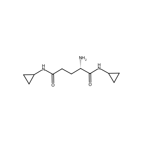 N[C@@H](CCC(=O)NC1CC1)C(=O)NC1CC1